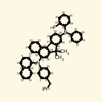 CC(C)Cc1ccc(N(c2cccc3ccccc23)c2cc3c(c4ccccc24)-c2ccc(N(c4ccccc4)c4ccccc4F)cc2C3(C)C)cc1